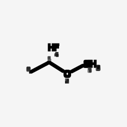 CCO[SiH3].F